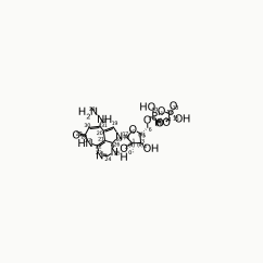 C[C@@]1(O)[C@H](O)[C@@H](COP(=O)(O)OP(=O)(O)O)O[C@H]1n1cc2c3c(ncnc31)NC(=O)C=C2NN